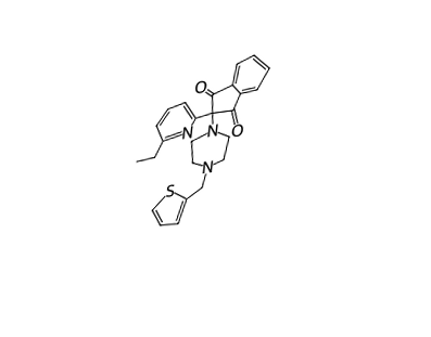 CCc1cccc(C2(N3CCN(Cc4cccs4)CC3)C(=O)c3ccccc3C2=O)n1